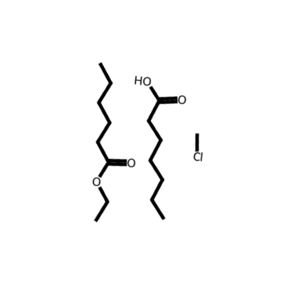 CCCCCC(=O)OCC.CCCCCCC(=O)O.CCl